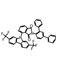 O=C1c2cccc(-n3c4cc(C(F)(F)F)ccc4c4ccc(C(F)(F)F)cc43)c2C(=O)N1c1ccc(-c2ccccc2)cc1-c1ccccc1